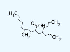 CCCCCC(C)CCC(CC(CCC)CCCC)C(=O)O